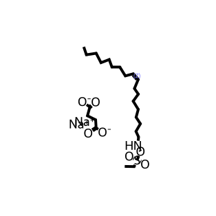 CCCCCCCC/C=C\CCCCCCCCNOS(=O)(=O)CC.O=C([O-])CCC(=O)[O-].[Na+].[Na+]